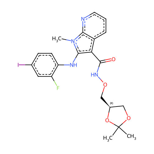 Cn1c(Nc2ccc(I)cc2F)c(C(=O)NOC[C@H]2COC(C)(C)O2)c2cccnc21